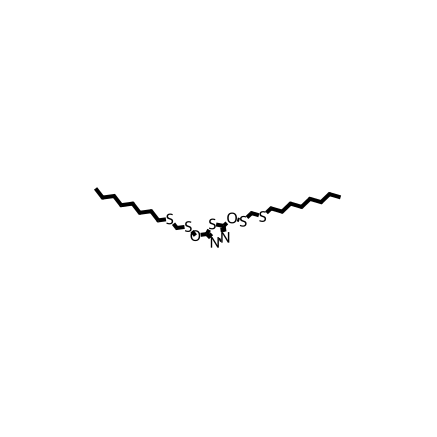 CCCCCCCCSCSOc1nnc(OSCSCCCCCCCC)s1